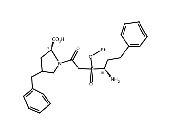 CCOP(=O)(CC(=O)N1CC(Cc2ccccc2)C[C@H]1C(=O)O)[C@H](N)CCc1ccccc1